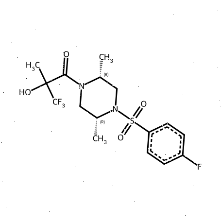 C[C@@H]1CN(S(=O)(=O)c2ccc(F)cc2)[C@H](C)CN1C(=O)C(C)(O)C(F)(F)F